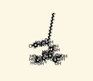 CCCCCCCCCCCCCCCCCC(=O)N[C@@H](CO[C@@H]1OC(CO)[C@@H](O[C@@H]2OC(CO)[C@H](O[C@@H]3OC(CO)[C@H](O)[C@H](O[C@@H]4OC(CO)[C@H](O)[C@H](O)C4O)C3C)[C@H](OC3C[C@@H](O)[C@@H](C)C([C@H](O)[C@H](O)CO)O3)C2O)[C@H](O)C1O)[C@H](O)/C=C\c1nnc(-c2ccc(Cl)cc2)[nH]1